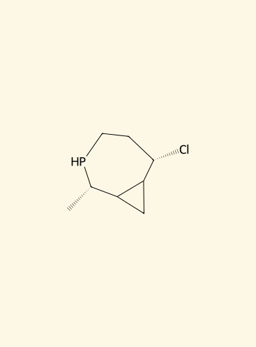 C[C@@H]1PCC[C@H](Cl)C2CC21